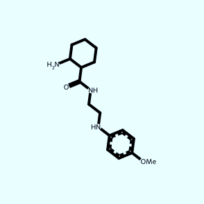 COc1ccc(NCCNC(=O)C2CCCCC2N)cc1